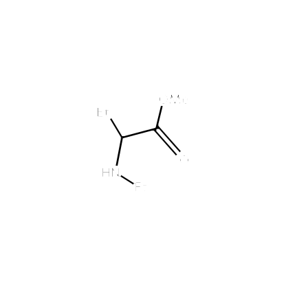 CCNC(CC)C(=O)OC